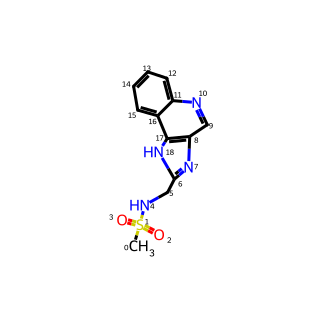 CS(=O)(=O)NCc1nc2cnc3ccccc3c2[nH]1